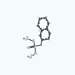 COP(=O)(Cc1ccc2ccccc2c1)OC